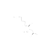 CCCCNC(=O)C(N)CC(N)=O